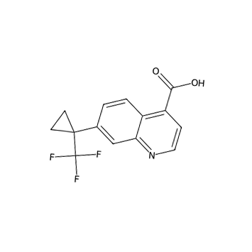 O=C(O)c1ccnc2cc(C3(C(F)(F)F)CC3)ccc12